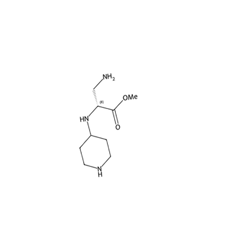 COC(=O)[C@@H](CN)NC1CCNCC1